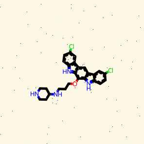 Clc1ccc2[nH]c3c(OCCCNC4CCNCC4)c4[nH]c5ccc(Cl)cc5c4cc3c2c1